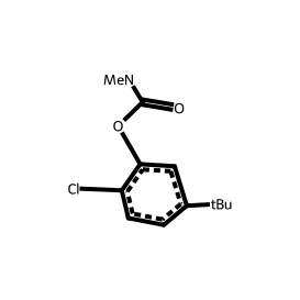 CNC(=O)Oc1cc(C(C)(C)C)ccc1Cl